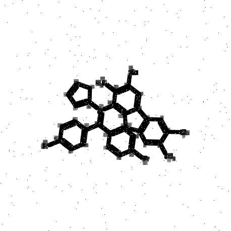 Cc1cc2c(cc1C(C)(C)C)-c1cc(C(C)(C)C)c(C)[c]([Zr]([C]3=CC=CC3)=[C](c3ccc(C(C)C)cc3)c3ccc(C(C)C)cc3)c1C2